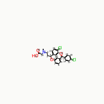 CN(CCC(Oc1cccc(C(=O)c2ccc(Cl)cc2)c1)c1ccc(Cl)cc1)CC(=O)O